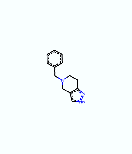 c1ccc(CN2CCc3n[nH]cc3C2)cc1